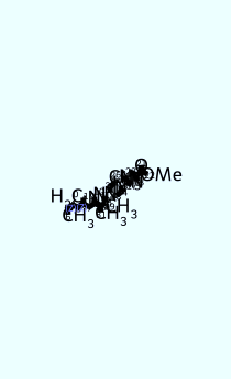 C=C/C(=C\C=C/C)Cc1nnc(N2CCN(c3cnc(C(=O)OC)cn3)[C@H](C)C2)c(C)c1C